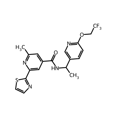 Cc1cc(C(=O)NC(C)c2ccc(OCC(F)(F)F)nc2)cc(-c2nccs2)n1